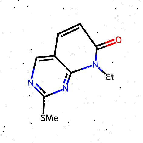 CCn1c(=O)ccc2cnc(SC)nc21